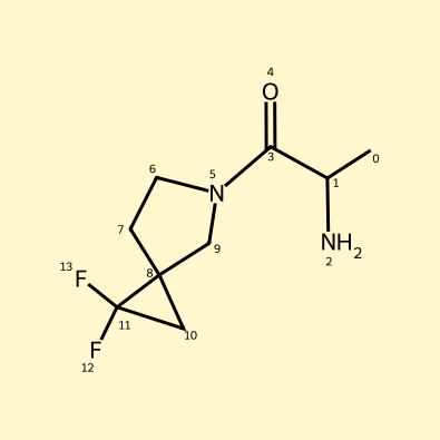 CC(N)C(=O)N1CCC2(C1)CC2(F)F